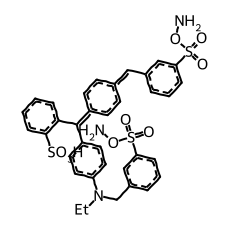 CCN(Cc1cccc(S(=O)(=O)ON)c1)c1ccc(C(c2ccccc2S(=O)(=O)O)=c2ccc(=Cc3cccc(S(=O)(=O)ON)c3)cc2)cc1